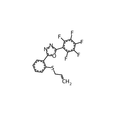 C=CCSc1ccccc1-c1nnc(-c2c(F)c(F)c(F)c(F)c2F)o1